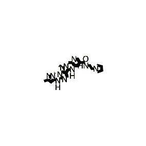 Cc1cc(Nc2ncc3c(Nc4cc(C(=O)NCCN5CCCC5)cnc4C)nn(C)c3n2)n(C)n1